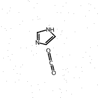 O=C=O.c1c[nH]cn1